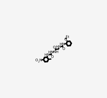 CCOc1ccccc1NC(=O)NCC(=O)NNC(=O)Nc1cc([N+](=O)[O-])ccc1C